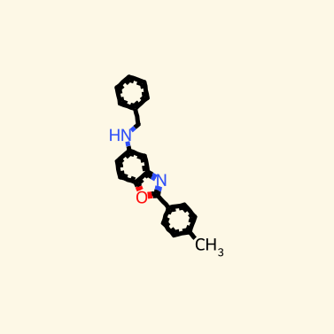 Cc1ccc(-c2nc3cc(NCc4ccccc4)ccc3o2)cc1